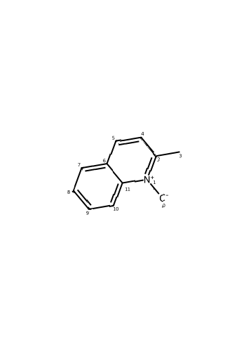 [CH2-][n+]1c(C)ccc2ccccc21